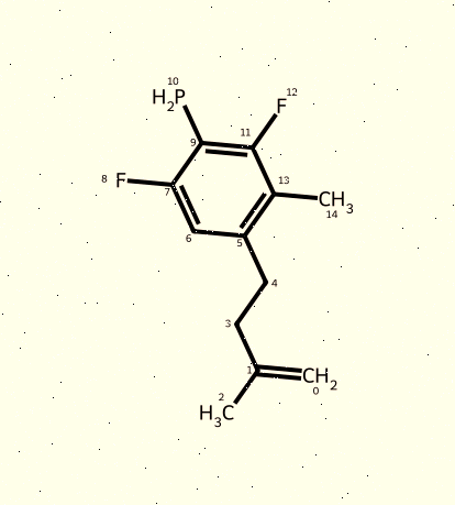 C=C(C)CCc1cc(F)c(P)c(F)c1C